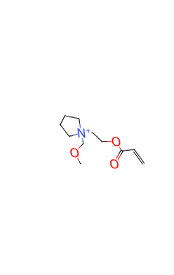 C=CC(=O)OCC[N+]1(COC)CCCC1